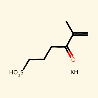 C=C(C)C(=O)CCCS(=O)(=O)O.[KH]